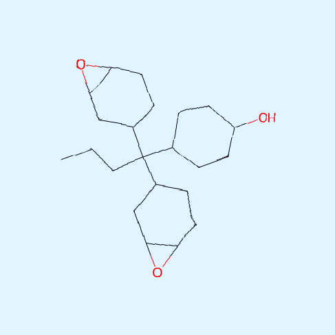 CCCC(C1CCC(O)CC1)(C1CCC2OC2C1)C1CCC2OC2C1